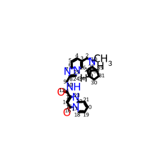 CN(Cc1ccc2nc(CNC(=O)c3cc(=O)n4ccccc4n3)cn2c1)[C@H]1C[C@H]2CC[C@@H]1C2